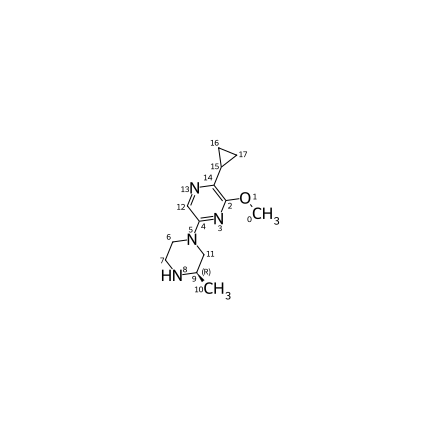 COc1nc(N2CCN[C@H](C)C2)cnc1C1CC1